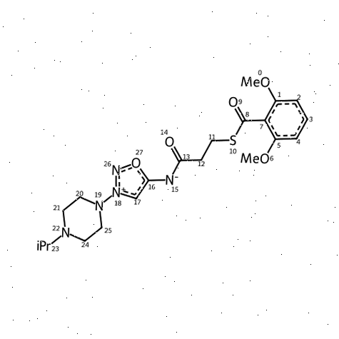 COc1cccc(OC)c1C(=O)SCCC(=O)[N-]c1c[n+](N2CCN(C(C)C)CC2)no1